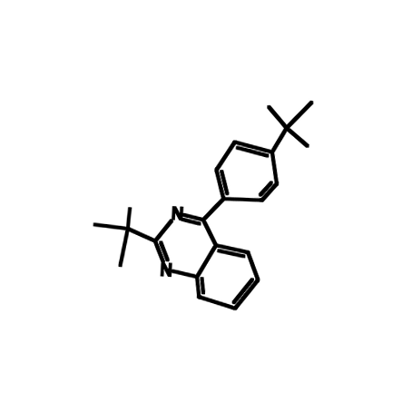 CC(C)(C)c1ccc(-c2nc(C(C)(C)C)nc3ccccc23)cc1